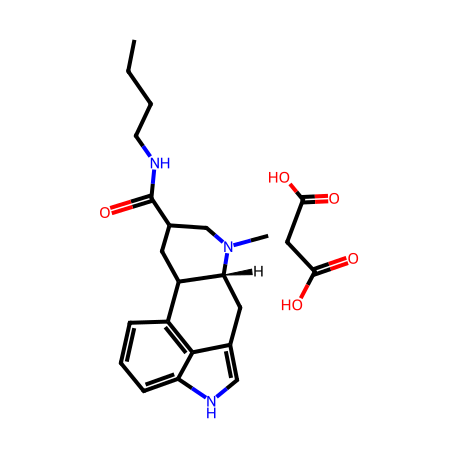 CCCCNC(=O)C1CC2c3cccc4[nH]cc(c34)C[C@H]2N(C)C1.O=C(O)CC(=O)O